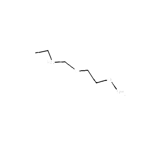 CCNCOCCON